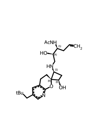 C=CC[C@H](NC(C)=O)[C@H](O)CN[C@H]1C[C@@H](O)[C@@]12CCc1cc(CC(C)(C)C)cnc1O2